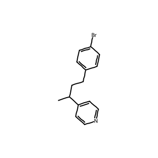 CC(CCc1ccc(Br)cc1)c1ccncc1